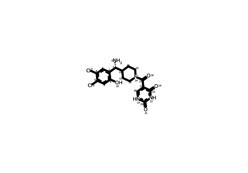 N[C@@H](c1cc(Cl)c(Cl)cc1O)C1CCN(C(=O)c2c[nH]c(=O)[nH]c2=O)CC1